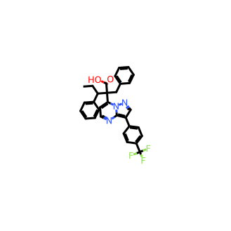 CCC(c1ccccc1)C(Cc1ccccc1)(C(=O)O)c1ccnc2c(-c3ccc(C(F)(F)F)cc3)cnn12